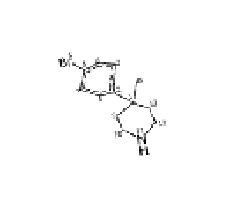 CC1(c2ccc(Br)cc2)CCNCC1